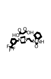 O=C(O)CC(=O)O.O=c1[nH]c2ccccc2n1CCN1CCN(c2cccc(C(F)(F)F)c2)CC1